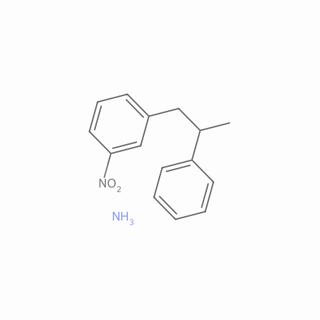 CC(Cc1cccc([N+](=O)[O-])c1)c1ccccc1.N